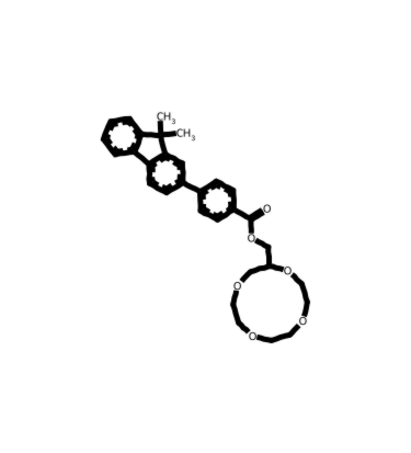 CC1(C)c2ccccc2-c2ccc(-c3ccc(C(=O)OCC4COCCOCCOCCO4)cc3)cc21